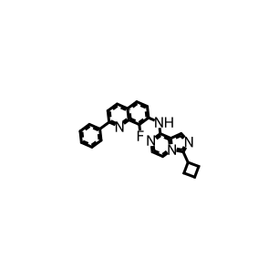 Fc1c(Nc2nccn3c(C4CCC4)ncc23)ccc2ccc(-c3ccccc3)nc12